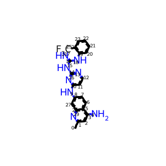 Cc1cc(N)c2ccc(Nc3ccnc(NC(=N)Nc4ccccc4C(F)(F)F)n3)cc2n1